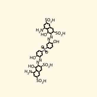 Nc1cc(S(=O)(=O)O)cc2cc(S(=O)(=O)O)c(/N=N/c3cc(S(=O)(=O)c4ccc(O)c(/N=N/c5c(S(=O)(=O)O)cc6cc(S(=O)(=O)O)cc(N)c6c5O)c4)ccc3O)c(O)c12